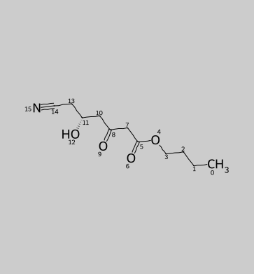 CCCCOC(=O)CC(=O)C[C@H](O)CC#N